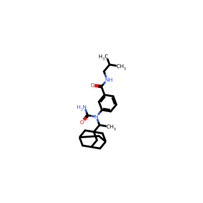 CC(C)CNC(=O)c1cccc(N(C(N)=O)C(C)C23CC4CC(CC(C4)C2)C3)c1